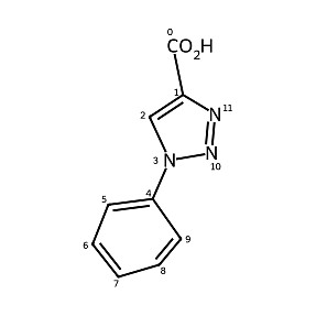 O=C(O)c1cn(-c2ccccc2)nn1